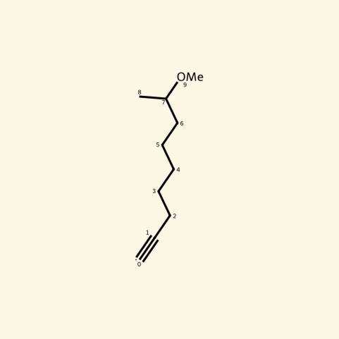 [C]#CCCCCCC(C)OC